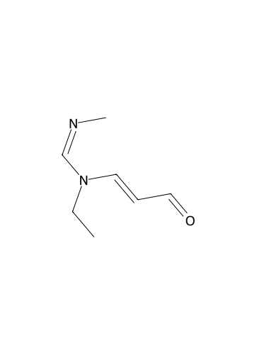 CCN(C=CC=O)/C=N\C